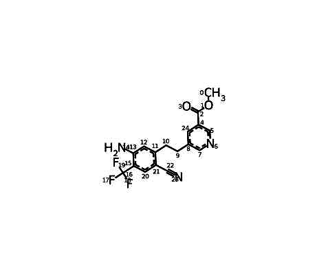 COC(=O)c1cncc(CCc2cc(N)c(C(F)(F)F)cc2C#N)c1